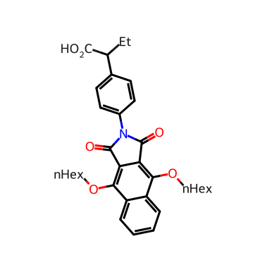 CCCCCCOc1c2c(c(OCCCCCC)c3ccccc13)C(=O)N(c1ccc(C(CC)C(=O)O)cc1)C2=O